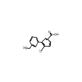 O=C(O)c1ccc(Cl)c(-c2cccc(CO)c2)c1